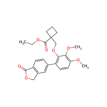 CCOC(=O)C1(COc2c(-c3ccc4c(c3)COC4=O)ccc(OC)c2OC)CCC1